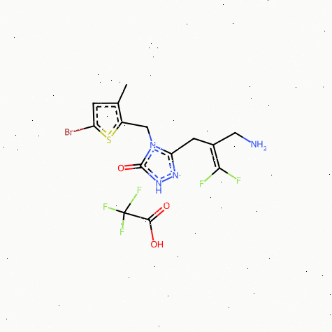 Cc1cc(Br)sc1Cn1c(CC(CN)=C(F)F)n[nH]c1=O.O=C(O)C(F)(F)F